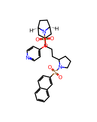 O=S(=O)(CCCC1CCCN1S(=O)(=O)c1ccc2ccccc2c1)N1[C@@H]2CC[C@H]1CC(Oc1ccncc1)C2